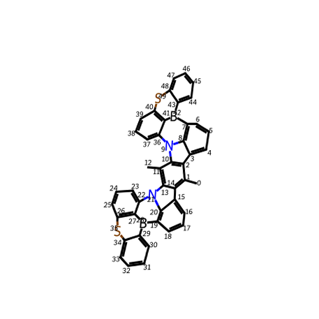 Cc1c2c3cccc4c3n(c2c(C)c2c1c1cccc3c1n2-c1cccc2c1B3c1ccccc1S2)-c1cccc2c1B4c1ccccc1S2